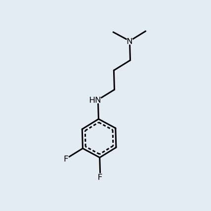 CN(C)CCCNc1ccc(F)c(F)c1